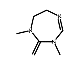 C=C1N(C)C=NCCN1C